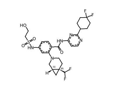 O=C(Nc1ccnc(C2CCC(F)(F)CC2)n1)c1ccc(NS(=O)(=O)CCO)cc1N1CC[C@]2(C(F)F)C[C@@H]2C1